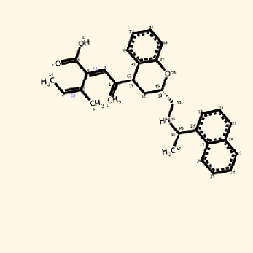 C=C(/C=C(C(=O)O)\C(C)=C/C)[C@@H]1C[C@@H](CN[C@H](C)c2cccc3ccccc23)Oc2ccccc21